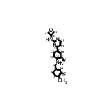 Cc1ccc(Cn2nnc3cc(-c4ccnc(NC5COC5)n4)ccc32)cc1F